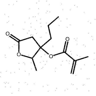 C=C(C)C(=O)OC1(CCC)CC(=O)OC1C